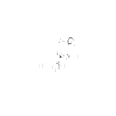 C[C@@H]1N[C@H](C)[C@H]2C(C(=O)NC(C)(C)COc3ncccc3C3CC3)[C@H]21